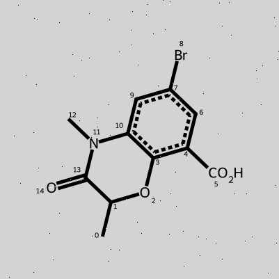 CC1Oc2c(C(=O)O)cc(Br)cc2N(C)C1=O